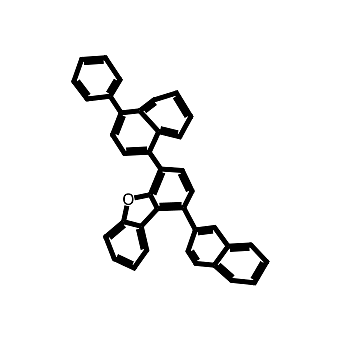 c1ccc(-c2ccc(-c3ccc(-c4ccc5ccccc5c4)c4c3oc3ccccc34)c3ccccc23)cc1